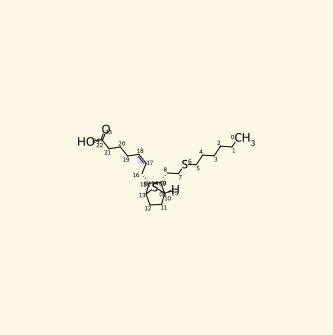 CCCCCCSCC[C@@H]1[C@@H]2CCC(S2)[C@@H]1C/C=C\CCCC(=O)O